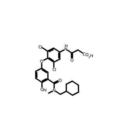 CN(CC1CCCCC1)C(=O)c1cc(Oc2c(Cl)cc(NC(=O)CC(=O)O)cc2Cl)ccc1O